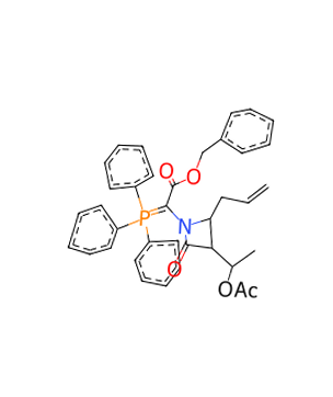 C=CCC1C(C(C)OC(C)=O)C(=O)N1C(C(=O)OCc1ccccc1)=P(c1ccccc1)(c1ccccc1)c1ccccc1